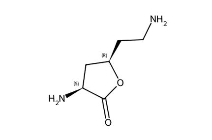 NCC[C@@H]1C[C@H](N)C(=O)O1